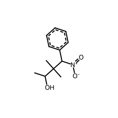 CC(O)C(C)(C)C(c1ccccc1)[N+](=O)[O-]